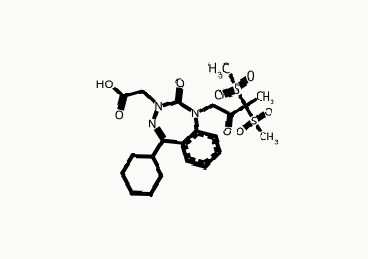 CC(C(=O)CN1C(=O)N(CC(=O)O)N=C(C2CCCCC2)c2ccccc21)(S(C)(=O)=O)S(C)(=O)=O